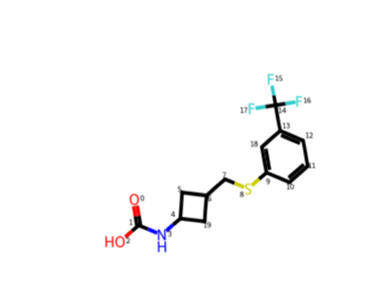 O=C(O)NC1CC(CSc2cccc(C(F)(F)F)c2)C1